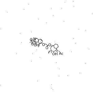 C=C[C@]1(C)C[C@@H](OC(=O)COc2ccc3c(c2F)B(O)N(S(C)(=O)=O)N=C3)[C@@]2(C)C[C@](CCC(C)=O)(CC[C@H]2C)[C@@H](C)[C@@H]1O